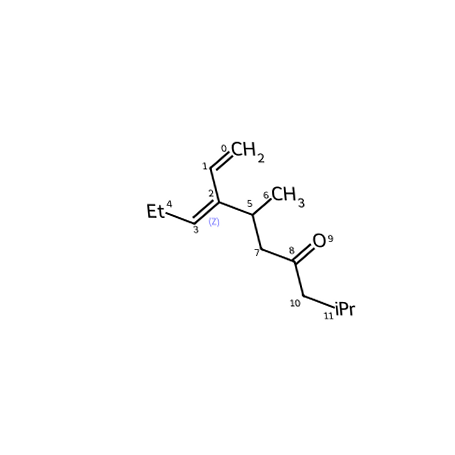 C=C/C(=C\CC)C(C)CC(=O)CC(C)C